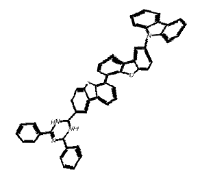 C1=c2sc3c(-c4cccc5c4oc4ccc(-n6c7ccccc7c7ccccc76)cc45)cccc3c2=CC(C2NC(c3ccccc3)=NC(c3ccccc3)N2)C1